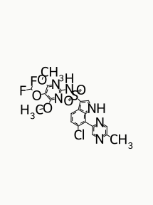 COc1nc(NS(=O)(=O)c2c[nH]c3c(-c4cnc(C)cn4)c(Cl)ccc23)nc(OC)c1OC(F)F